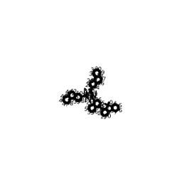 CC1(C)c2ccccc2-c2cccc(-c3ccc(-c4nc(-c5ccc6c(ccc7ccccc76)c5)nc(-c5ccc6c(ccc7ccccc76)c5)n4)c4ccccc34)c21